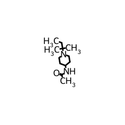 CCC(C)(C)N1CCC(NC(C)=O)CC1